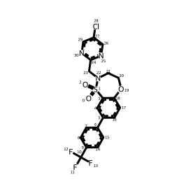 O=S1(=O)c2cc(-c3ccc(C(F)(F)F)cc3)ccc2OCCN1Cc1ncc(Cl)cn1